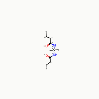 CCCC(=O)N[Si](C)(C)NC(=O)CCC